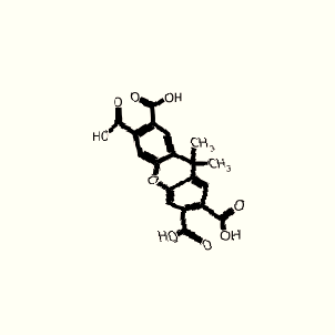 CC1(C)c2cc(C(=O)O)c(C(=O)O)cc2Oc2cc(C(=O)O)c(C(=O)O)cc21